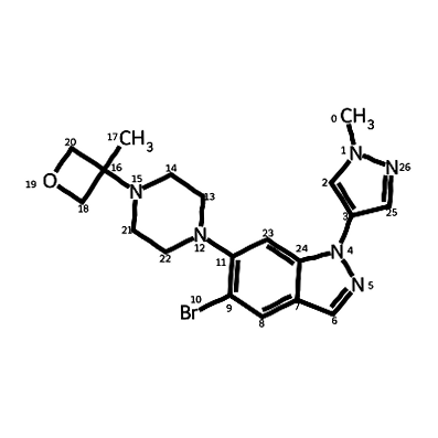 Cn1cc(-n2ncc3cc(Br)c(N4CCN(C5(C)COC5)CC4)cc32)cn1